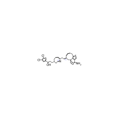 NC(=O)c1csc2c1C(=O)C/C(=C/CC1=C=CCC(CC[C@H](O)c3cc(Cl)c(Cl)s3)C/C=N/1)C=C=CC2